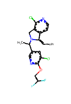 CCC/C=C1\c2ccnc(Cl)c2CN1C(C)c1cnc(OCC(F)F)c(Cl)c1